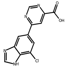 O=C(O)c1cc(-c2cc(Cl)c3[nH]cnc3c2)ncn1